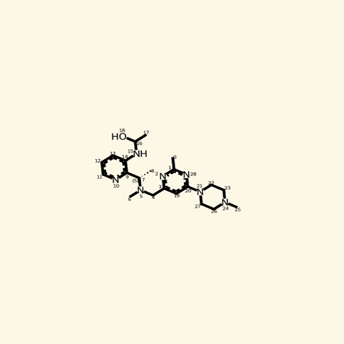 Cc1nc(CN(C)[C@@H](C)c2ncccc2NC(C)O)cc(N2CCN(C)CC2)n1